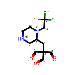 O=CC(C=O)(C=O)CC1CNCCN1CC(F)(F)F